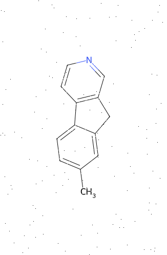 Cc1ccc2c(c1)Cc1cnccc1-2